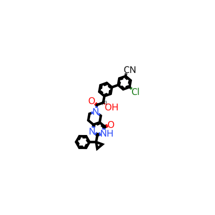 N#Cc1cc(Cl)cc(-c2cccc([C@@H](O)C(=O)N3CCc4nc(C5(c6ccccc6)CC5)[nH]c(=O)c4C3)c2)c1